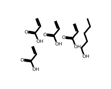 C=CC(=O)O.C=CC(=O)O.C=CC(=O)O.C=CC(=O)O.CCCCCO